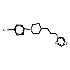 O=[N+]([O-])c1ccc(N2CCC(CCCn3cncn3)CC2)cc1